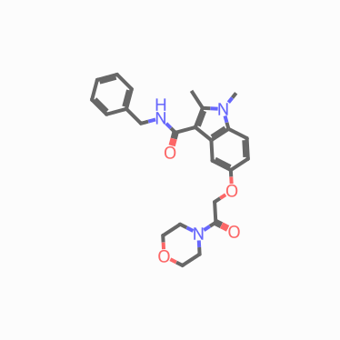 Cc1c(C(=O)NCc2ccccc2)c2cc(OCC(=O)N3CCOCC3)ccc2n1C